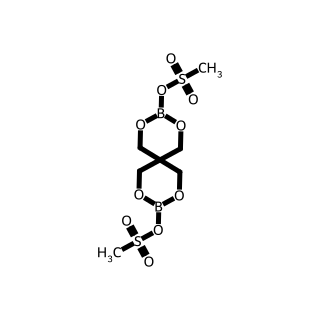 CS(=O)(=O)OB1OCC2(CO1)COB(OS(C)(=O)=O)OC2